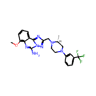 COc1cccc2c1nc(N)n1nc(CN3CCN(c4cccc(C(F)(F)F)c4)C[C@H]3C)nc21